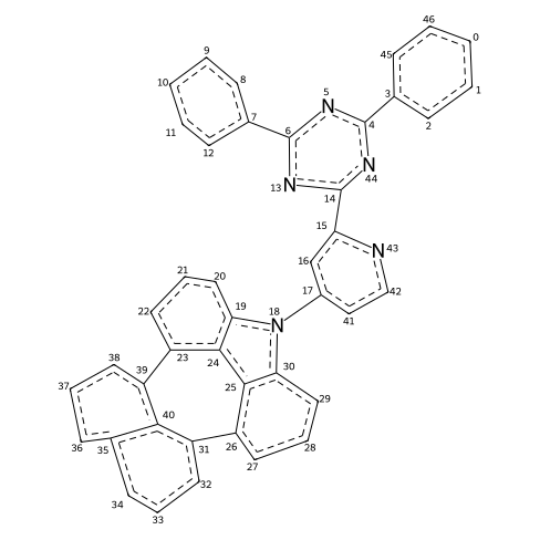 c1ccc(-c2nc(-c3ccccc3)nc(-c3cc(-n4c5cccc6c5c5c(cccc54)-c4cccc5cccc-6c45)ccn3)n2)cc1